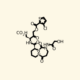 O=C(O)C[C@H](NC(=O)[C@@H]1CCCN2C(=O)CCN(NC(=O)CO)C(=O)N12)C(=O)COC(=O)c1sccc1Cl